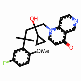 COc1ccc(F)cc1C(C)(C)CC(O)(Cn1ccc(=O)c2cnccc21)C1CC1